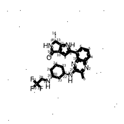 Cc1nc2cccc(-c3cc4c([nH]3)[C@@H](C)NC4=O)c2nc1N[C@@H]1CCC[C@@H](NCC(F)(F)F)C1